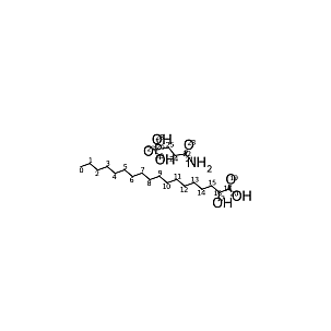 CCCCCCCCCCCCCCCCC(O)C(=O)O.NC(=O)CCP(=O)(O)O